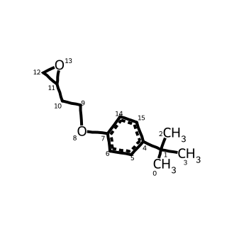 CC(C)(C)c1ccc(OCCC2CO2)cc1